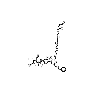 CCN(CC(COCc1ccccc1)OCCOCCOCCOCCOCCOC(=O)/C=C\C=O)c1ccc(/N=N/c2sc(C#N)c(C)c2C#N)c(C)c1